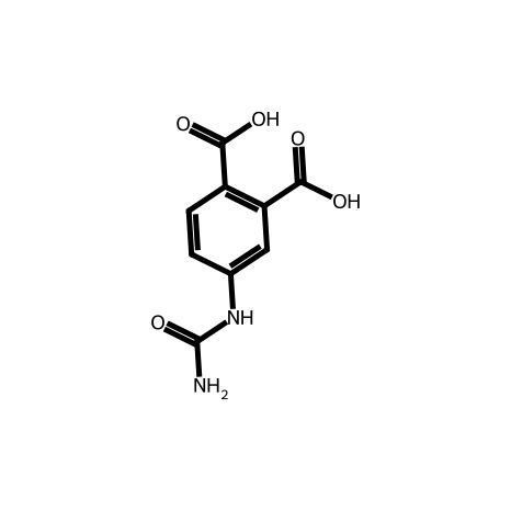 NC(=O)Nc1ccc(C(=O)O)c(C(=O)O)c1